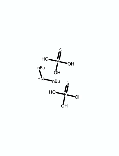 CCCCNCCCC.OP(O)(O)=S.OP(O)(O)=S